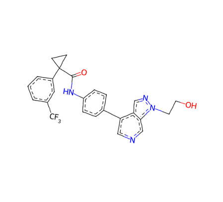 O=C(Nc1ccc(-c2cncc3c2cnn3CCO)cc1)C1(c2cccc(C(F)(F)F)c2)CC1